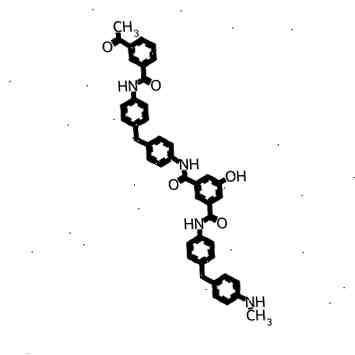 CNc1ccc(Cc2ccc(NC(=O)c3cc(O)cc(C(=O)Nc4ccc(Cc5ccc(NC(=O)c6cccc(C(C)=O)c6)cc5)cc4)c3)cc2)cc1